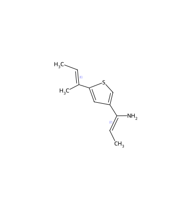 C/C=C(\N)c1csc(/C(C)=C/C)c1